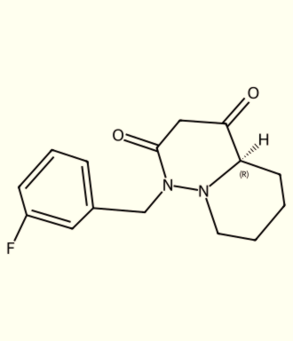 O=C1CC(=O)N(Cc2cccc(F)c2)N2CCCC[C@H]12